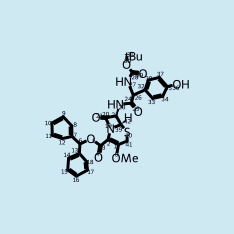 COC1=C(C(=O)OC(c2ccccc2)c2ccccc2)N2C(=O)[C@@H](NC(=O)C(NC(=O)OC(C)(C)C)c3ccc(O)cc3)[C@H]2SC1